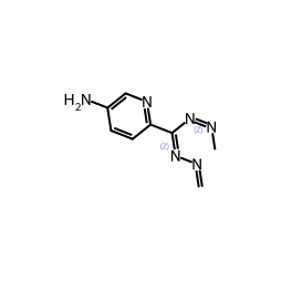 C=N/N=C(\N=N/C)c1ccc(N)cn1